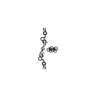 CN(C)c1ccc(C=C2CCCc3c[n+](CCSSCC[n+]4ccc5c(c4)CCCC5=Cc4ccc(N(C)C)cc4)ccc32)cc1.CS(=O)(=O)[O-].CS(=O)(=O)[O-]